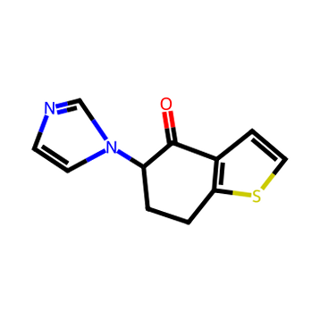 O=C1c2ccsc2CCC1n1ccnc1